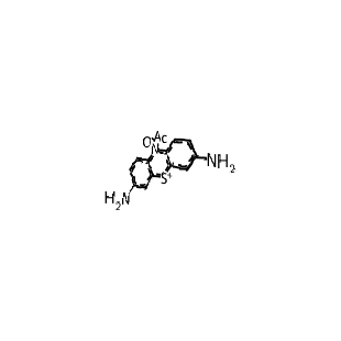 CC(=O)[O-].Nc1ccc2nc3ccc(N)cc3[s+]c2c1